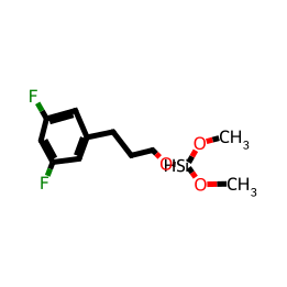 CO[SiH](OC)OCCCc1cc(F)cc(F)c1